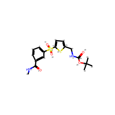 CNC(=O)c1cccc(S(=O)(=O)c2ccc(CNC(=O)OC(C)(C)C)s2)c1